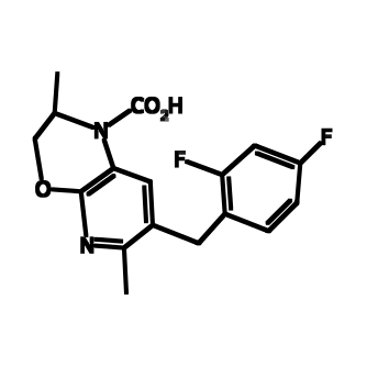 Cc1nc2c(cc1Cc1ccc(F)cc1F)N(C(=O)O)C(C)CO2